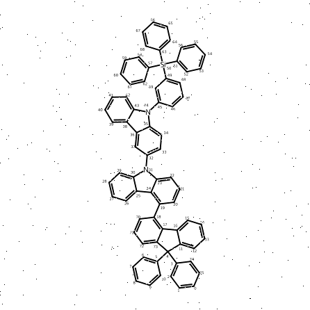 c1ccc(C2(c3ccccc3)c3ccccc3-c3c(-c4cccc5c4c4ccccc4n5-c4ccc5c(c4)c4ccccc4n5-c4cccc([Si](c5ccccc5)(c5ccccc5)c5ccccc5)c4)cccc32)cc1